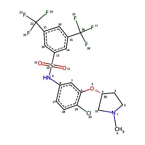 CN1CC[C@@H](Oc2cc(NS(=O)(=O)c3cc(C(F)(F)F)cc(C(F)(F)F)c3)ccc2Cl)C1